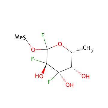 CSOC1(F)O[C@H](C)[C@H](O)[C@@](O)(F)[C@]1(O)F